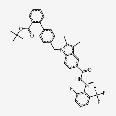 Cc1c(C)n(Cc2ccc(-c3ccccc3C(=O)OC(C)(C)C)cc2)c2ccc(C(=O)N[C@@H](C)c3c(F)cccc3C(F)(F)F)cc12